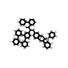 CC(c1ccccc1-c1ccccc1)C(Cc1ccc2c(c1)C1OC2c2c1n(-c1ccccc1)c1ccccc21)c1ccc2c(c1)-c1ccccc1-c1ccccc1-c1ccccc1-2